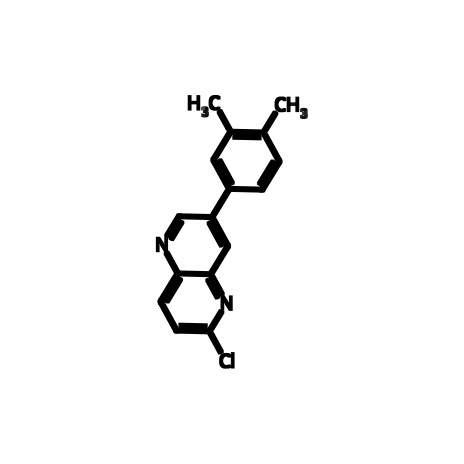 Cc1ccc(-c2cnc3ccc(Cl)nc3c2)cc1C